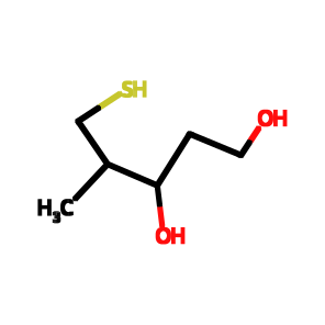 CC(CS)C(O)CCO